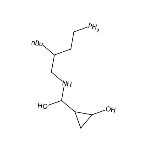 CCCCC(CCP)CNC(O)C1CC1O